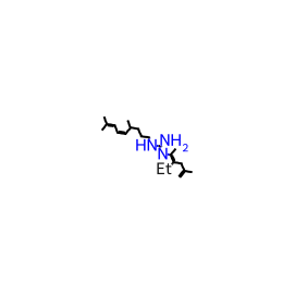 C=C(C)C/C(CC)=C(C)/N=C(\N)NCCCC(C)/C=C\C=C(C)C